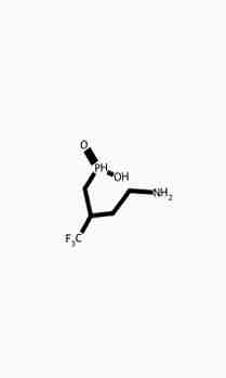 NCCC(C[PH](=O)O)C(F)(F)F